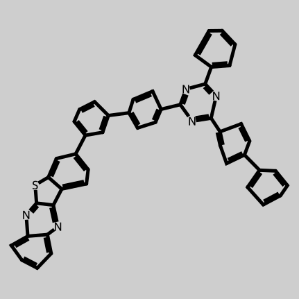 c1ccc(-c2ccc(-c3nc(-c4ccccc4)nc(-c4ccc(-c5cccc(-c6ccc7c(c6)sc6nc8ccccc8nc67)c5)cc4)n3)cc2)cc1